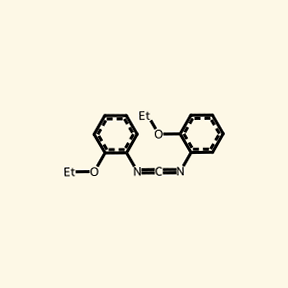 CCOc1ccccc1N=C=Nc1ccccc1OCC